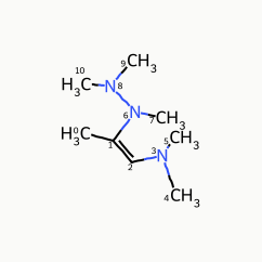 CC(=CN(C)C)N(C)N(C)C